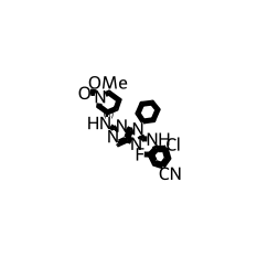 COC(=O)N1CCC[C@@H](Nc2ncc3nc(Nc4c(F)cc(C#N)cc4Cl)n(C4CCCCC4)c3n2)C1